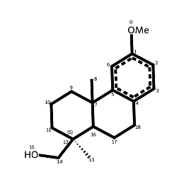 COc1ccc2c(c1)C1(C)CCC[C@](C)(CO)C1CC2